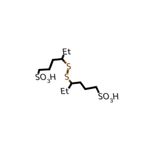 CCC(CCCS(=O)(=O)O)SSC(CC)CCCS(=O)(=O)O